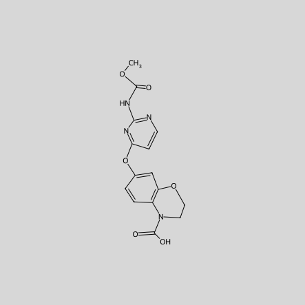 COC(=O)Nc1nccc(Oc2ccc3c(c2)OCCN3C(=O)O)n1